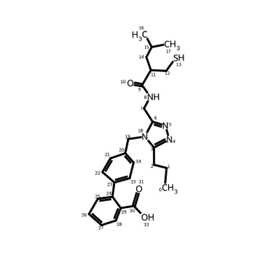 CCCc1nnc(CNC(=O)C(CS)CC(C)C)n1Cc1ccc(-c2ccccc2C(=O)O)cc1